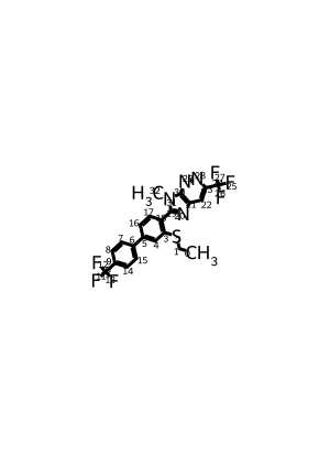 CCSc1cc(-c2ccc(C(F)(F)F)cc2)ccc1-c1nc2cc(C(F)(F)F)nnc2n1C